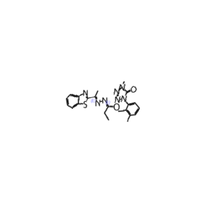 CC/C(=N\N=C(/C)c1nc2ccccc2s1)OCc1c(C)cccc1-n1nnn(C)c1=O